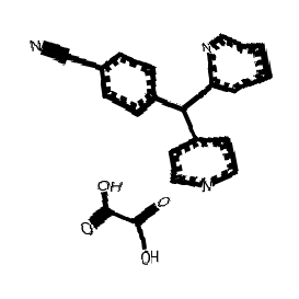 N#Cc1ccc(C(c2ccncc2)c2ccccn2)cc1.O=C(O)C(=O)O